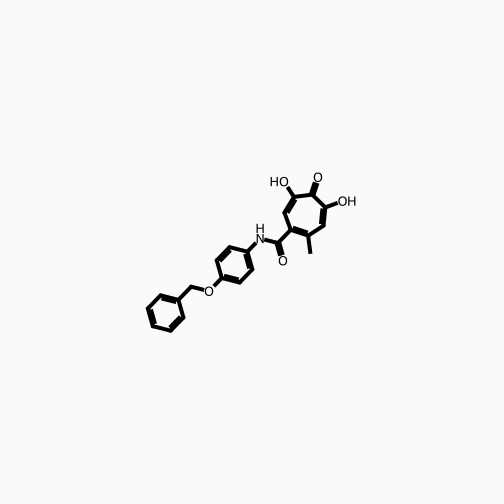 Cc1cc(O)c(=O)c(O)cc1C(=O)Nc1ccc(OCc2ccccc2)cc1